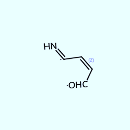 N=[C]/C=C\[C]=O